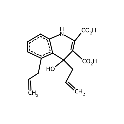 C=CCc1cccc2c1C(O)(CC=C)C(C(=O)O)=C(C(=O)O)N2